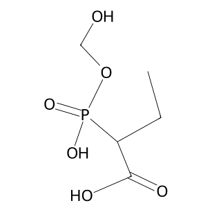 CCC(C(=O)O)P(=O)(O)OCO